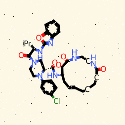 CC(C)C(Nc1nc2ccccc2o1)C(=O)N1CCN(c2ccc(Cl)cc2)[C@@H](C(=O)N[C@@H]2C/C=C/CCCCC(=O)NCCNC(=O)C2=O)C1